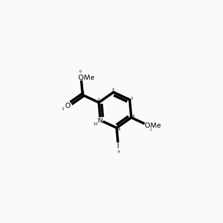 COC(=O)c1ccc(OC)c(I)n1